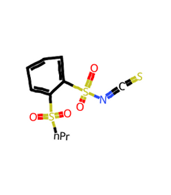 CCCS(=O)(=O)c1ccccc1S(=O)(=O)N=C=S